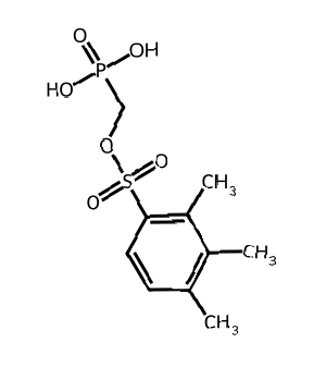 Cc1ccc(S(=O)(=O)OCP(=O)(O)O)c(C)c1C